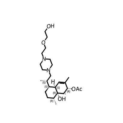 CC(=O)O[C@@H]1[C][C@@]2(O)[C@H](C)CC[C@@H]([C@H](C)CN3CCN(CCOCCO)CC3)[C@H]2C=C1C